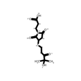 CC(C)(O)C(=O)CCSC1CC(=O)N(CCC(=O)O)C1=O